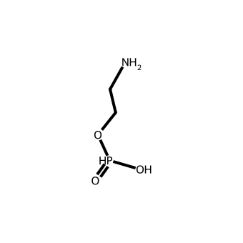 NCCO[PH](=O)O